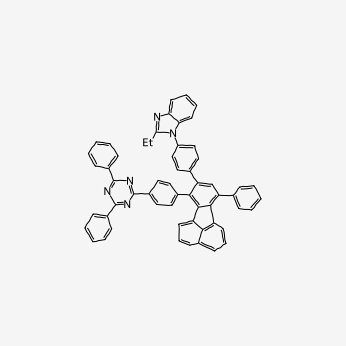 CCc1nc2ccccc2n1-c1ccc(-c2cc(-c3ccccc3)c3c(c2-c2ccc(-c4nc(-c5ccccc5)nc(-c5ccccc5)n4)cc2)-c2cccc4cccc-3c24)cc1